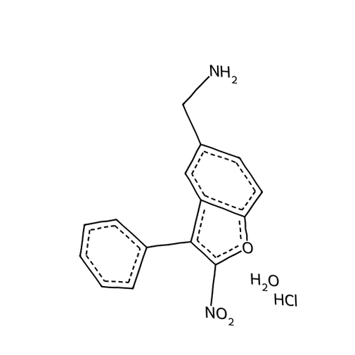 Cl.NCc1ccc2oc([N+](=O)[O-])c(-c3ccccc3)c2c1.O